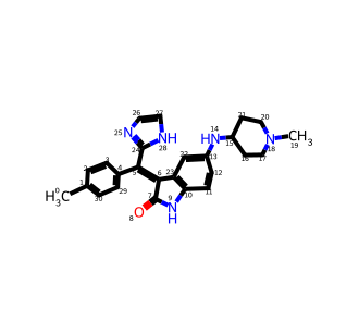 Cc1ccc(C(=C2C(=O)Nc3ccc(NC4CCN(C)CC4)cc32)c2ncc[nH]2)cc1